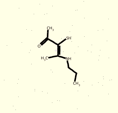 CCCN/C(C)=C(\S)C(C)=O